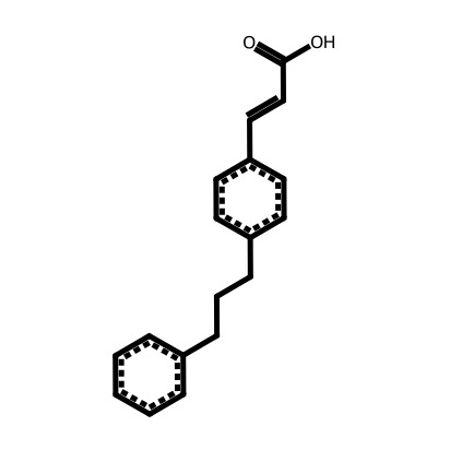 O=C(O)C=Cc1ccc(CCCc2ccccc2)cc1